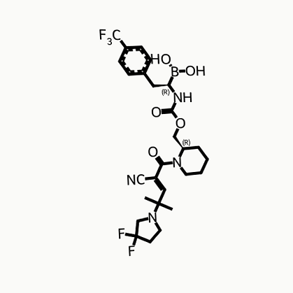 CC(C)(C=C(C#N)C(=O)N1CCCC[C@@H]1COC(=O)N[C@@H](Cc1ccc(C(F)(F)F)cc1)B(O)O)N1CCC(F)(F)C1